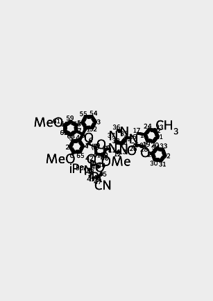 COc1ccc(C(OC[C@H]2O[C@@H](n3cnc4c(N(Cc5cccc(C)c5)C(=O)COc5ccccc5)ncnc43)[C@@H](OC)C2OP(OCCC#N)N(C(C)C)C(C)C)(c2ccccc2)c2ccc(OC)cc2)cc1